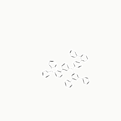 c1ccc(-c2cc(-c3ccccc3)cc(N(c3ccc(-c4ccccc4-c4ccccc4)cc3)c3cccc(-c4cccc5c4c4ccccc4n5-c4ccccc4)c3)c2)cc1